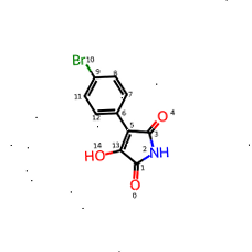 O=C1NC(=O)C(c2ccc(Br)cc2)=C1O